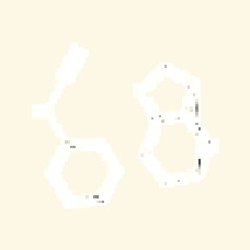 C#CNc1ccccc1.c1cn2ncc3c2nc1-3